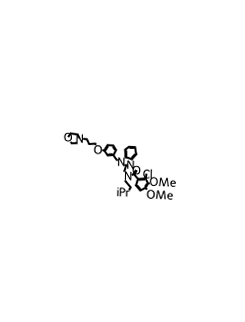 COc1ccc(C(=O)N(CCC(C)C)Cc2nc3ccccc3n2Cc2cccc(OCCCN3CCOCC3)c2)c(Cl)c1OC